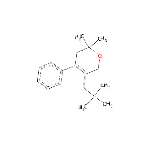 CC(C)(C)CC1=C(c2ccccc2)CC(C)(C)OC1